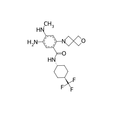 CNc1cc(N2CC3(COC3)C2)c(C(=O)N[C@H]2CC[C@H](C(F)(F)F)CC2)cc1N